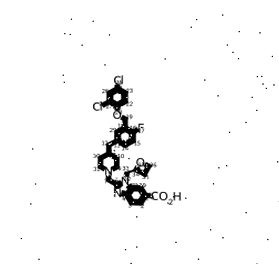 O=C(O)c1ccc2nc(CN3CCC(Cc4ccc(F)c(COc5ccc(Cl)cc5Cl)c4)CC3)n(C[C@@H]3CCO3)c2c1